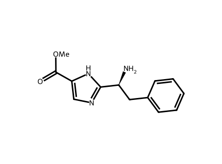 COC(=O)c1cnc([C@@H](N)Cc2ccccc2)[nH]1